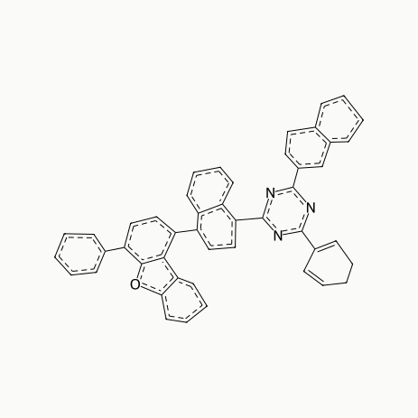 C1=CC(c2nc(-c3ccc4ccccc4c3)nc(-c3ccc(-c4ccc(-c5ccccc5)c5oc6ccccc6c45)c4ccccc34)n2)=CCC1